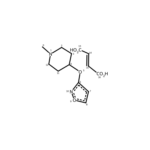 CN1CCC(Oc2ccon2)CC1.O=C(O)/C=C/C(=O)O